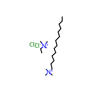 CCCCCCCCCCCCCC[N+](C)(C)C.CC[N+](C)(C)C.[Cl-].[Cl-]